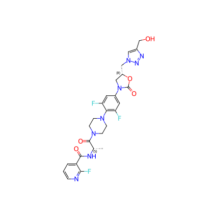 C[C@H](NC(=O)c1cccnc1F)C(=O)N1CCN(c2c(F)cc(N3C[C@H](Cn4cc(CO)nn4)OC3=O)cc2F)CC1